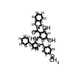 COc1ccc(Cn2ncc(-c3ccccc3)c2Nc2cc(O)cc(O)c2C(=O)N2Cc3ccccc3C2)cc1